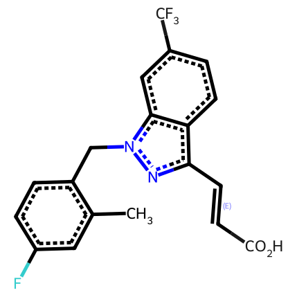 Cc1cc(F)ccc1Cn1nc(/C=C/C(=O)O)c2ccc(C(F)(F)F)cc21